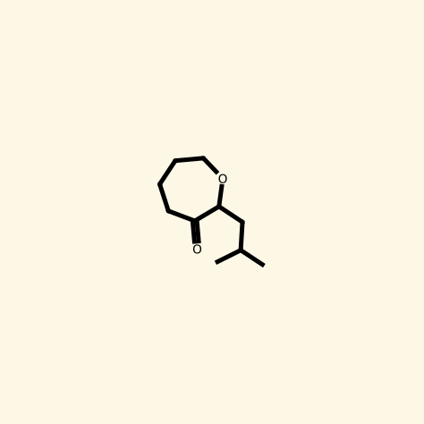 CC(C)CC1OCCCCC1=O